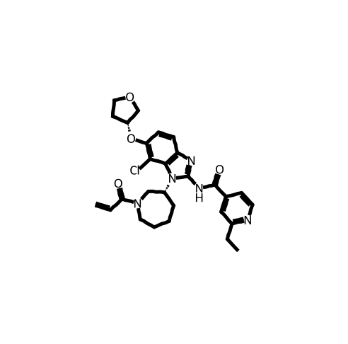 C=CC(=O)N1CCCC[C@@H](n2c(NC(=O)c3ccnc(CC)c3)nc3ccc(O[C@@H]4CCOC4)c(Cl)c32)C1